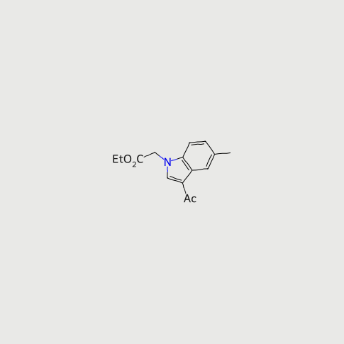 CCOC(=O)Cn1cc(C(C)=O)c2cc(C)ccc21